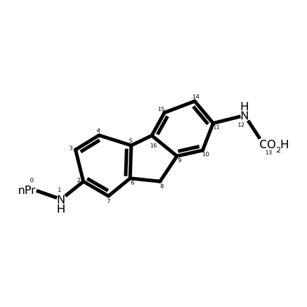 CCCNc1ccc2c(c1)Cc1cc(NC(=O)O)ccc1-2